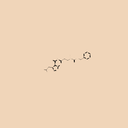 CC(C)Cc1csc2oc(CCNC(=O)OCc3ccccc3)nc(=O)c12